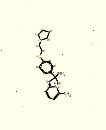 NC1=CC=CC2=NC(N)(c3ccc(OCCN4CCCC4)cc3)NN12